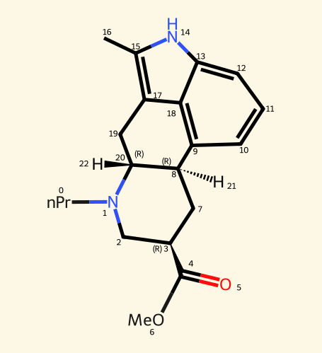 CCCN1C[C@H](C(=O)OC)C[C@@H]2c3cccc4[nH]c(C)c(c34)C[C@H]21